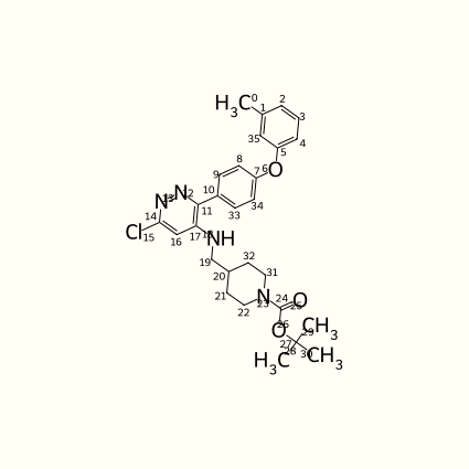 Cc1cccc(Oc2ccc(-c3nnc(Cl)cc3NCC3CCN(C(=O)OC(C)(C)C)CC3)cc2)c1